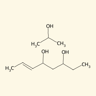 C/C=C/C(O)CC(O)CC.CC(C)O